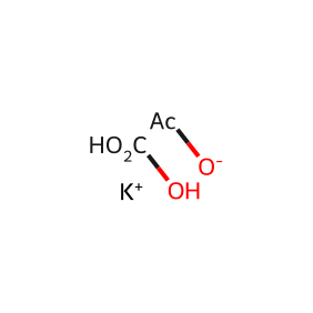 CC(=O)[O-].O=C(O)O.[K+]